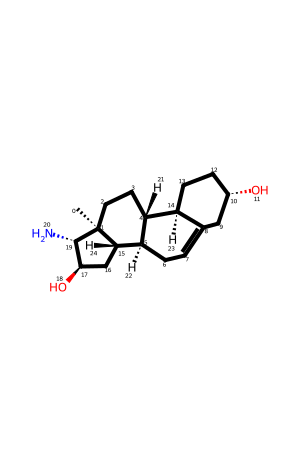 C[C@]12CC[C@H]3[C@@H](CC=C4C[C@@H](O)CC[C@@H]43)[C@@H]1C[C@@H](O)[C@@H]2N